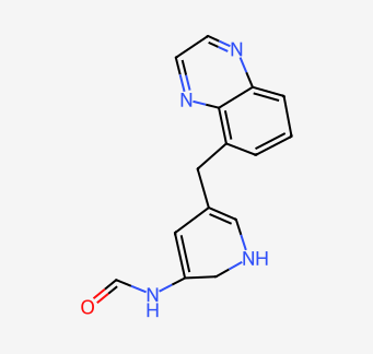 O=CNC1=CC(Cc2cccc3nccnc23)=CNC1